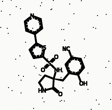 N#Cc1ccc(O)c(C[C@]2(NS(=O)(=O)c3ccc(-c4ccncc4)s3)CCNC2=O)c1